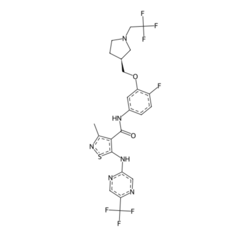 Cc1nsc(Nc2cnc(C(F)(F)F)cn2)c1C(=O)Nc1ccc(F)c(OC[C@H]2CCN(CC(F)(F)F)C2)c1